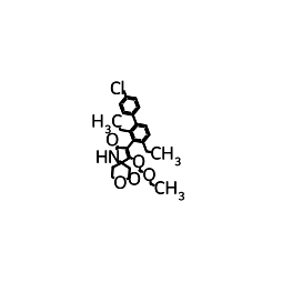 CCOC(=O)OC1=C(c2c(CC)ccc(-c3ccc(Cl)cc3)c2CC)C(=O)NC12CCOCC2